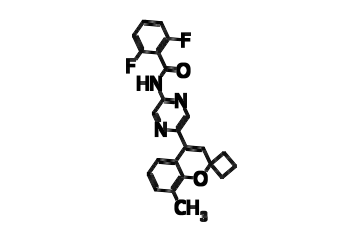 Cc1cccc2c1OC1(C=C2c2cnc(NC(=O)c3c(F)cccc3F)cn2)CCC1